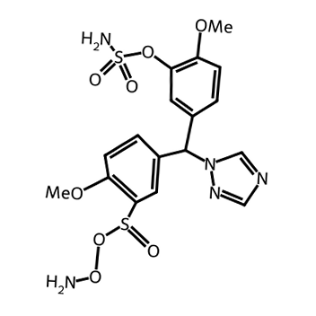 COc1ccc(C(c2ccc(OC)c(S(=O)OON)c2)n2cncn2)cc1OS(N)(=O)=O